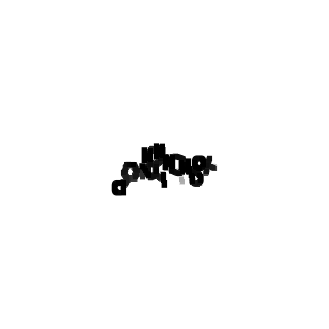 C[C@@H]1CN(c2ncnc3c2c(I)cn3-c2cccc(Cl)c2)CCN1C(=O)OC(C)(C)C